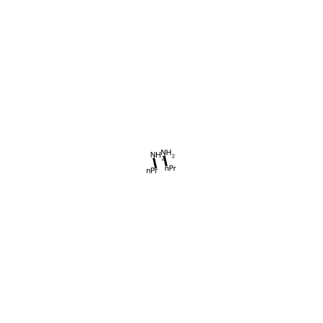 CCCN.CCCN